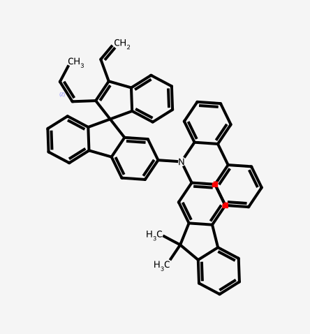 C=CC1=C(/C=C\C)C2(c3ccccc31)c1ccccc1-c1ccc(N(c3ccc4c(c3)C(C)(C)c3ccccc3-4)c3ccccc3-c3ccccc3)cc12